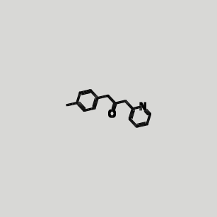 Cc1ccc(CC(=O)Cc2ccccn2)cc1